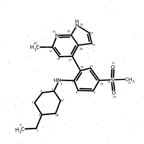 CCC1CCC(Nc2ccc(S(C)(=O)=O)cc2-c2cc(C)nc3[nH]ccc23)CC1